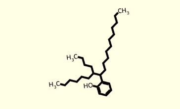 CCCCCCCCCCCC(c1ccccc1O)C(CCCC)CCCCCC